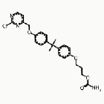 CC(C)(c1ccc(OCCCOC(N)=O)cc1)c1ccc(OCc2ccnc(Cl)n2)cc1